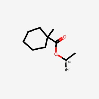 CC(C)[C@H](C)OC(=O)C1(C)CCCCC1